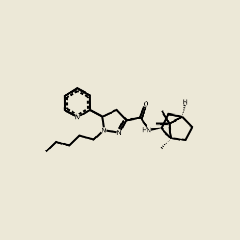 CCCCCN1N=C(C(=O)N[C@H]2C[C@H]3CC[C@]2(C)C3(C)C)CC1c1ccccn1